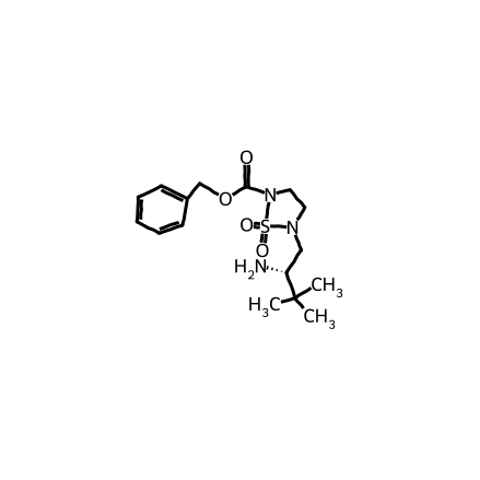 CC(C)(C)[C@H](N)CN1CCN(C(=O)OCc2ccccc2)S1(=O)=O